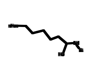 CCCCCCCCCCCC(O)NCC